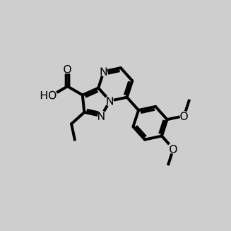 CCc1nn2c(-c3ccc(OC)c(OC)c3)ccnc2c1C(=O)O